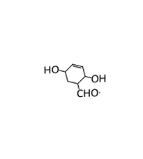 O=[C]C1CC(O)C=CC1O